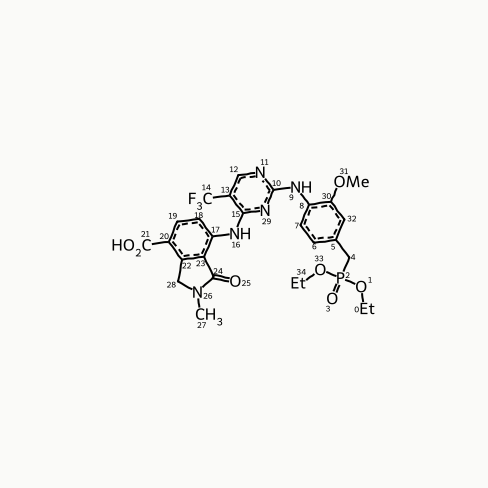 CCOP(=O)(Cc1ccc(Nc2ncc(C(F)(F)F)c(Nc3ccc(C(=O)O)c4c3C(=O)N(C)C4)n2)c(OC)c1)OCC